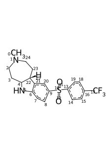 CN1CCC2Nc3ccc(S(=O)(=O)c4ccc(C(F)(F)F)cc4)cc3[C@H]2CC1